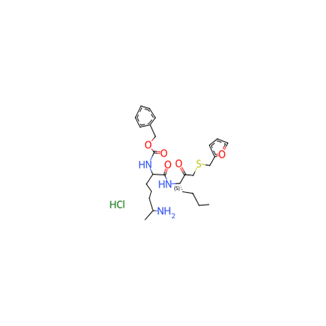 CCCC[C@H](NC(=O)C(CCCC(C)N)NC(=O)OCc1ccccc1)C(=O)CSCc1ccco1.Cl